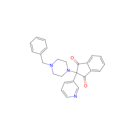 O=C1c2ccccc2C(=O)C1(c1cccnc1)N1CCN(Cc2ccccc2)CC1